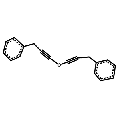 C(#COC#CCc1ccccc1)Cc1ccccc1